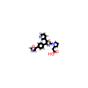 O=C(O)CC1CCCN1c1nc(-c2ccc(-c3cnco3)cc2)c(-c2cccnc2)s1